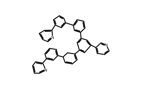 C1=CC(c2cccc(-c3ccccn3)c2)CC(c2cc(-c3cccnc3)cc(-c3cccc(-c4cccc(-c5ccccn5)c4)c3)c2)=C1